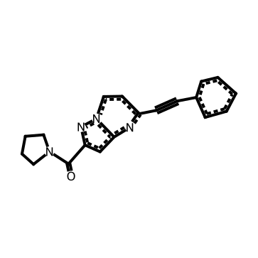 O=C(c1cc2nc(C#Cc3ccccc3)ccn2n1)N1CCCC1